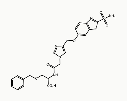 NS(=O)(=O)c1nc2ccc(OCc3cn(CC(=O)NC(CSCc4ccccc4)C(=O)O)nn3)cc2s1